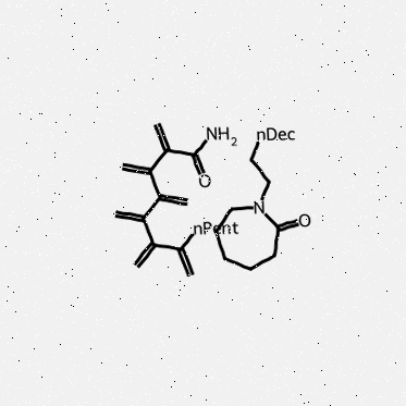 C=C(CCCCC)C(=C)C(=C)C(=C)C(=C)C(=C)C(N)=O.CCCCCCCCCCCCN1CCCCCC1=O